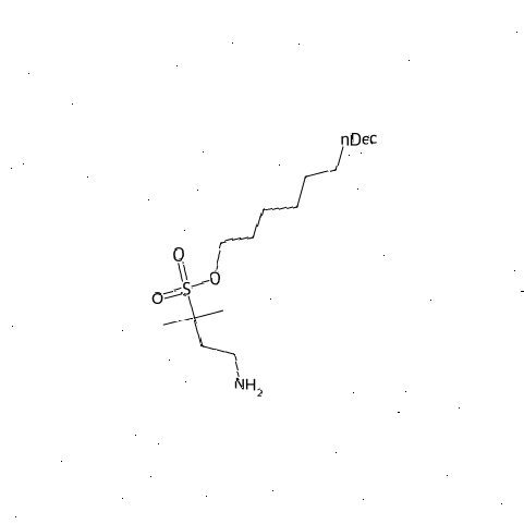 CCCCCCCCCCCCCCCCOS(=O)(=O)C(C)(C)CCN